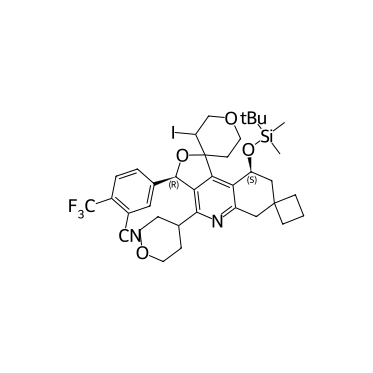 CC(C)(C)[Si](C)(C)O[C@H]1CC2(CCC2)Cc2nc(C3CCOCC3)c3c(c21)C1(CCOCC1I)O[C@@H]3c1ccc(C(F)(F)F)c(C#N)c1